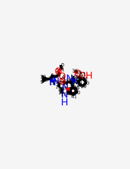 CCOC(=O)c1cc(C2CC2)nn1CC[C@@H]1CNCCN1C(=O)c1ncn([C@@H]2CCCC[C@@]2(O)COC)c1-c1ccccc1